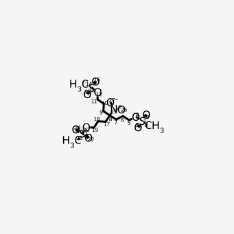 CS(=O)(=O)OCCCC(CCCOS(C)(=O)=O)(CCCOS(C)(=O)=O)[N+](=O)[O-]